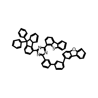 C1=CC2c3c(-c4nc(-c5cccc(-c6cccc(-c7ccc8oc9ccccc9c8c7)c6)c5)nc(-c5cccc6c5sc5ccccc56)n4)cccc3C(c3ccccc3)(c3ccccc3)C2C=C1